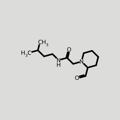 CC(C)CCNC(=O)CN1CCCCC1C=O